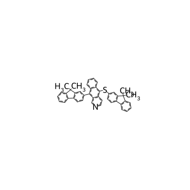 CC1(C)c2ccccc2-c2ccc(Sc3c4ccccc4c(-c4ccc5c(c4)C(C)(C)c4ccccc4-5)c4cnccc34)cc21